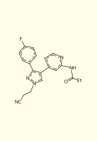 CCC(=O)Nc1cc(-c2cn(CCC#N)nc2-c2ccc(F)cc2)ccn1